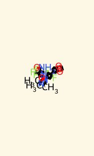 C[C@@H]1CN(c2cc(F)c(-c3ccc4c(c3)OCCO4)c(F)c2-n2cc(C(N)=O)c(C(F)(F)F)cc2=O)C[C@H](C)N1C